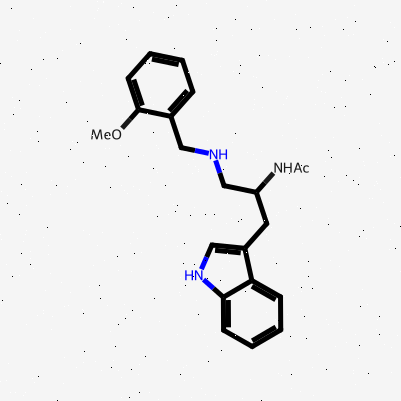 COc1ccccc1CNCC(Cc1c[nH]c2ccccc12)NC(C)=O